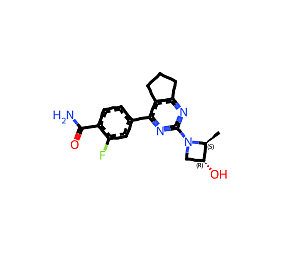 C[C@H]1[C@H](O)CN1c1nc2c(c(-c3ccc(C(N)=O)c(F)c3)n1)CCC2